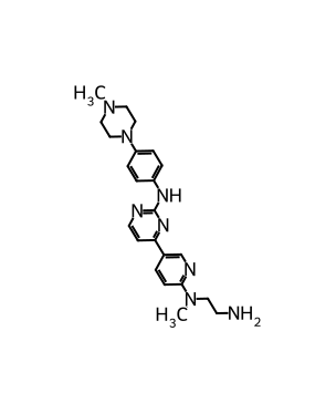 CN1CCN(c2ccc(Nc3nccc(-c4ccc(N(C)CCN)nc4)n3)cc2)CC1